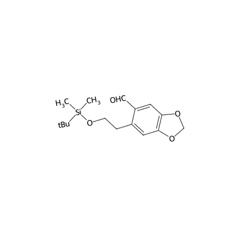 CC(C)(C)[Si](C)(C)OCCc1cc2c(cc1C=O)OCO2